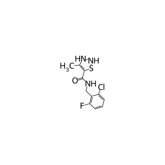 CC1=C(C(=O)NCc2c(F)cccc2Cl)SNN1